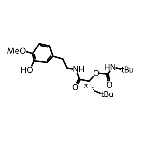 COc1ccc(CCNC(=O)[C@@H](CC(C)(C)C)OC(=O)NC(C)(C)C)cc1O